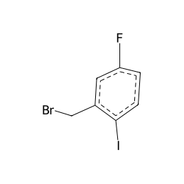 Fc1ccc(I)c(CBr)c1